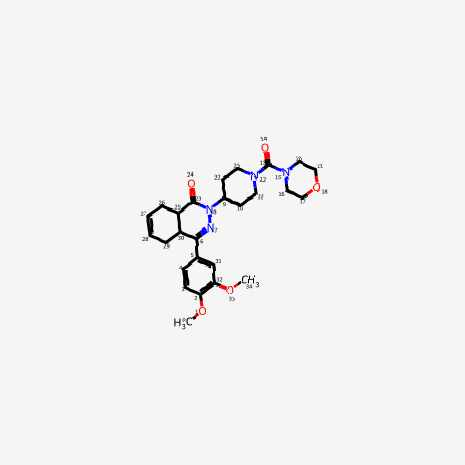 COc1ccc(C2=NN(C3CCN(C(=O)N4CCOCC4)CC3)C(=O)C3CC=CCC23)cc1OC